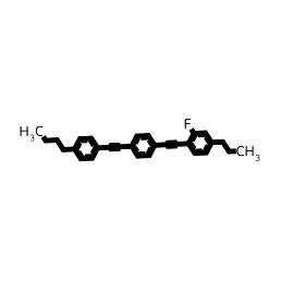 CCCCc1ccc(C#Cc2ccc(C#Cc3ccc(CCC)cc3F)cc2)cc1